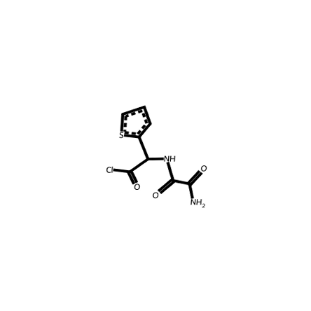 NC(=O)C(=O)NC(C(=O)Cl)c1cccs1